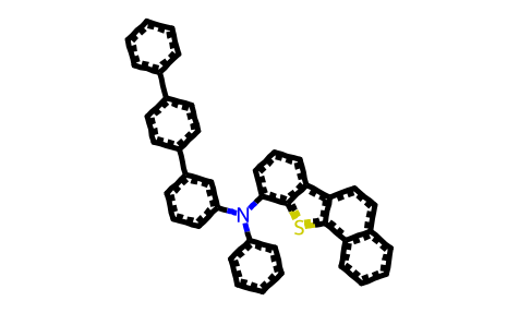 c1ccc(-c2ccc(-c3cccc(N(c4ccccc4)c4cccc5c4sc4c6ccccc6ccc54)c3)cc2)cc1